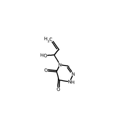 C=CC(O)n1[c]n[nH]c(=O)c1=O